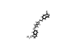 Cn1ncc2ccc(OC3CC4(C3)CN(CCc3ccn5c(F)nnc5c3)C4)cc21